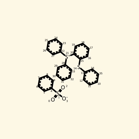 O=S(=O)([O-])c1ccccc1.c1ccc(Sc2ccccc2[S+](c2ccccc2)c2ccccc2)cc1